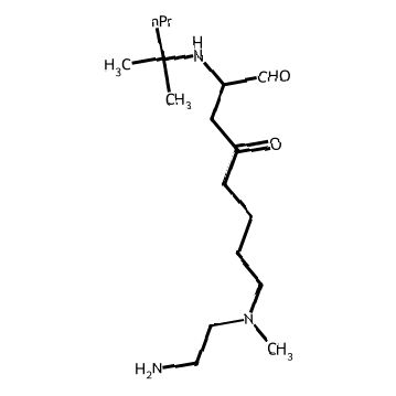 CCCC(C)(C)NC(C=O)CC(=O)CCCCN(C)CCN